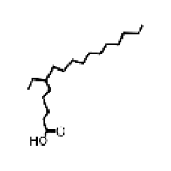 CCCCCCCCCCCC(CC)CCCCC(=O)O